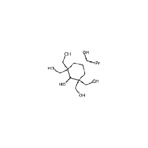 CC(C)CO.OCC1(CO)CCCC(CO)(CO)C1O